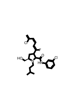 C=C(Cl)/C=C\C=C(/F)C1C[C@H](CO)N(CCC(C)C)C1C(=O)Nc1cccc(Cl)c1